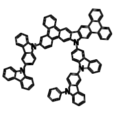 c1ccc(-n2c3ccccc3c3cc(-n4c5ccccc5c5cc(-n6c7cc8c9ccccc9c9ccccc9c8cc7c7cc8c9ccccc9c9cc(-n%10c%11ccccc%11c%11cc(-n%12c%13ccccc%13c%13ccccc%13%12)ccc%11%10)ccc9c8cc76)ccc54)ccc32)cc1